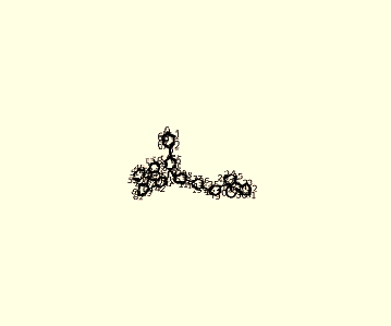 c1ccc(-c2ccc(N(c3ccc(-c4ccc(-c5cccc(-c6cccc7c6oc6ccccc67)c5)cc4)cc3)c3ccc4c(c3)C(c3ccccc3)(c3ccccc3)c3ccccc3-4)cc2)cc1